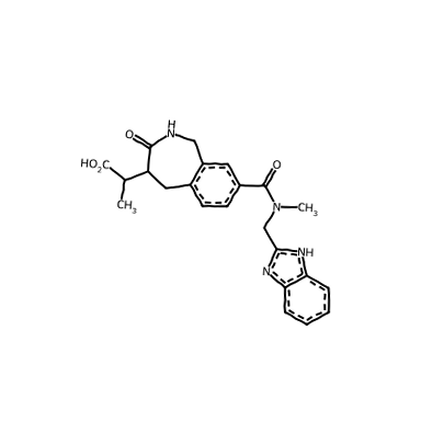 CC(C(=O)O)C1Cc2ccc(C(=O)N(C)Cc3nc4ccccc4[nH]3)cc2CNC1=O